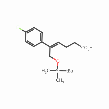 CC(C)(C)[Si](C)(C)OCC(=CCCC(=O)O)c1ccc(F)cc1